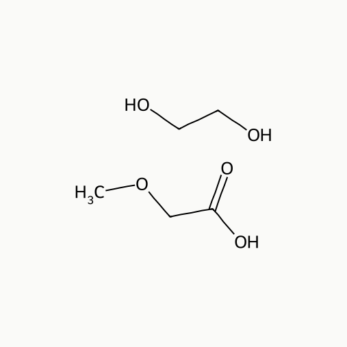 COCC(=O)O.OCCO